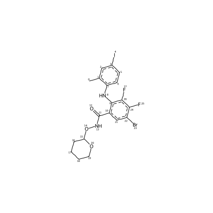 Cc1cc(I)ccc1Nc1c(C(=O)NOC2CCCCO2)cc(Br)c(F)c1F